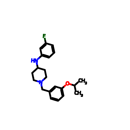 CC(C)Oc1cccc(CN2CCC(Nc3cccc(F)c3)CC2)c1